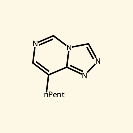 CCCCCc1cncn2cnnc12